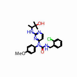 COc1ccc(N(C(=O)NCc2ccccc2Cl)c2ccnc(NC(C)C(C)(C)O)n2)cc1